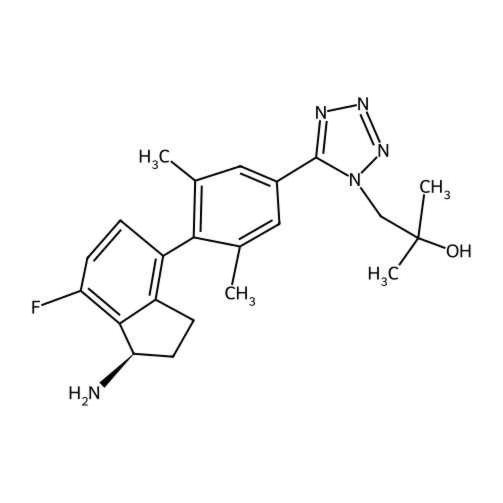 Cc1cc(-c2nnnn2CC(C)(C)O)cc(C)c1-c1ccc(F)c2c1CC[C@H]2N